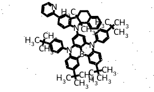 CC(C)(C)c1ccc(N2c3ccc(C(C)(C)C)cc3B3c4cc(C(C)(C)C)ccc4N(c4ccc(C(C)(C)C)cc4)c4cc(N5c6ccc(-c7ccccn7)cc6C6(C)CCc7ccccc7C56C)cc2c43)cc1